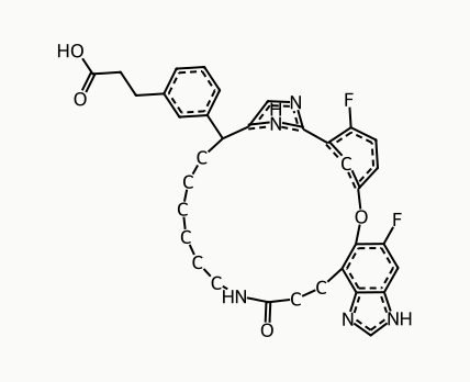 O=C(O)CCc1cccc(C2CCCCCCNC(=O)CCc3c(c(F)cc4[nH]cnc34)Oc3ccc(F)c(c3)-c3ncc2[nH]3)c1